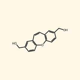 OCc1ccc2c(c1)C=Cc1cc(CO)ccc1O2